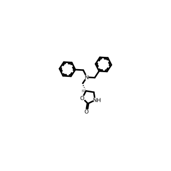 O=C1NC[C@@H](CN(Cc2ccccc2)Cc2ccccc2)O1